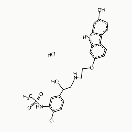 CS(=O)(=O)Nc1cc(C(O)CNCCOc2ccc3c(c2)[nH]c2cc(O)ccc23)ccc1Cl.Cl